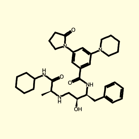 C[C@H](NC[C@H](O)[C@H](Cc1ccccc1)NC(=O)c1cc(N2CCCCC2)cc(N2CCCC2=O)c1)C(=O)NC1CCCCC1